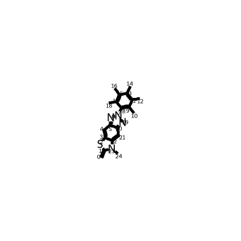 C=C1Sc2cc3nn(-c4c(C)c(C)c(C)c(C)c4C)nc3cc2N1C